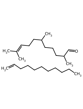 C=CCCCCCCCCC.CC(C)=CCCC(C)CCCC(C)C=O